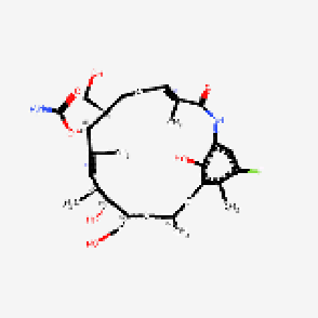 C/C1=C\CC[C@H](CO)[C@@H](OC(N)=O)/C(C)=C/[C@H](C)[C@@H](O)[C@@H](CO)C[C@H](C)Cc2c(C)c(F)cc(c2O)NC1=O